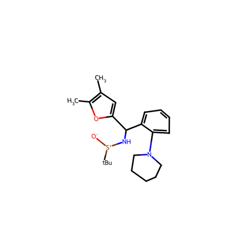 Cc1cc(C(N[S+]([O-])C(C)(C)C)c2ccccc2N2CCCCC2)oc1C